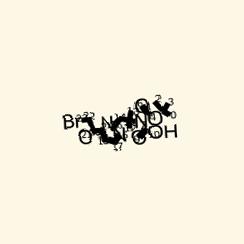 CC(C)(C)OC(=O)N(C(=O)O)C(C)(C)Cc1nccc(C(=O)CBr)n1